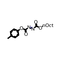 CCCCCCCCOC(=O)/N=N/C(=O)Oc1ccc(C)cc1